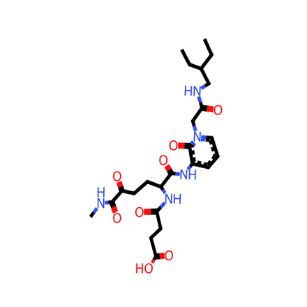 CCC(CC)CNC(=O)Cn1cccc(NC(=O)C(CCC(=O)C(=O)NC)NC(=O)CCC(=O)O)c1=O